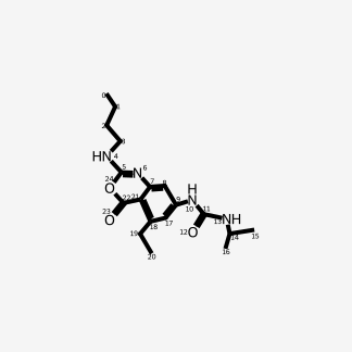 CCCCNc1nc2cc(NC(=O)NC(C)C)cc(CC)c2c(=O)o1